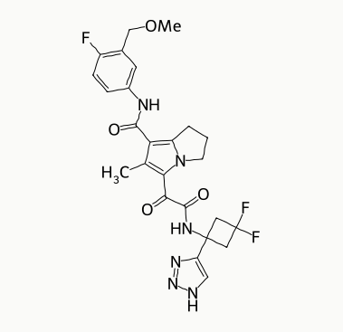 COCc1cc(NC(=O)c2c(C)c(C(=O)C(=O)NC3(c4c[nH]nn4)CC(F)(F)C3)n3c2CCC3)ccc1F